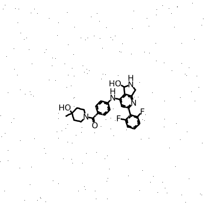 CC1(O)CCN(C(=O)c2ccc(Nc3cc(-c4c(F)cccc4F)nc4c3C(O)NC4)cc2)CC1